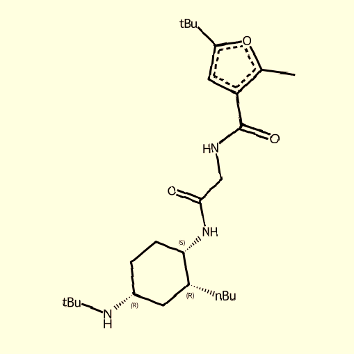 CCCC[C@@H]1C[C@H](NC(C)(C)C)CC[C@@H]1NC(=O)CNC(=O)c1cc(C(C)(C)C)oc1C